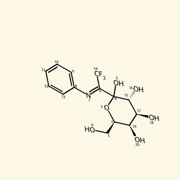 OC[C@H]1OC(O)(C(=Nc2ccccc2)C(F)(F)F)[C@H](O)[C@@H](O)[C@H]1O